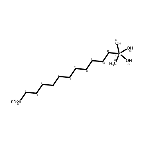 CCCCCCCCCCCCCCCCCCCCP(C)(O)(O)O